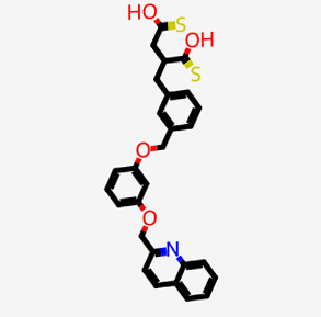 OC(=S)CC(Cc1cccc(COc2cccc(OCc3ccc4ccccc4n3)c2)c1)C(O)=S